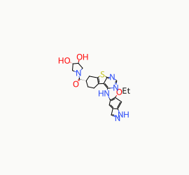 CCOc1cc2[nH]ncc2cc1Nc1ncnc2sc3c(c12)CC[C@H](C(=O)N1C[C@H](O)[C@@H](O)C1)C3